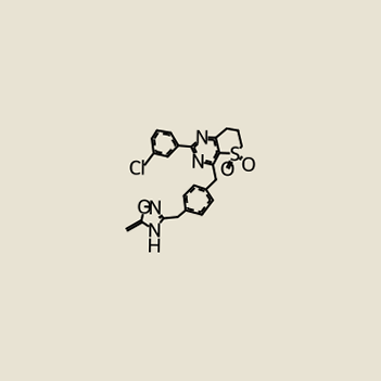 C=C1NC(Cc2ccc(Cc3nc(-c4cccc(Cl)c4)nc4c3S(=O)(=O)CCC4)cc2)=NO1